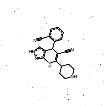 N#CC1=C(C2CCNCC2)Nc2n[nH]cc2C1c1ccccc1C#N